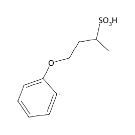 CC(CCOc1[c]cccc1)S(=O)(=O)O